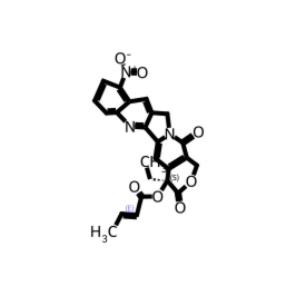 C/C=C/C(=O)O[C@]1(CC)C(=O)OCc2c1cc1n(c2=O)Cc2cc3c([N+](=O)[O-])cccc3nc2-1